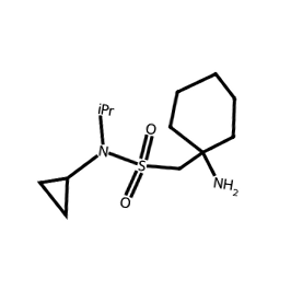 CC(C)N(C1CC1)S(=O)(=O)CC1(N)CCCCC1